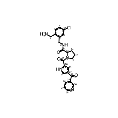 NCc1ccc(Cl)cc1CNC(=O)C1CCCN1C(=O)c1cc(C(=O)c2cccnc2)c[nH]1